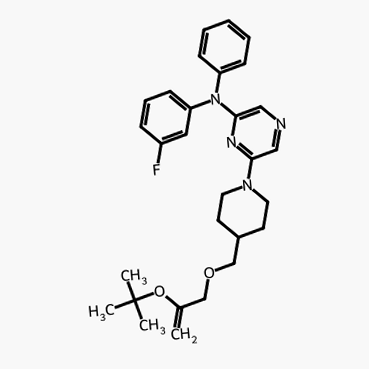 C=C(COCC1CCN(c2cncc(N(c3ccccc3)c3cccc(F)c3)n2)CC1)OC(C)(C)C